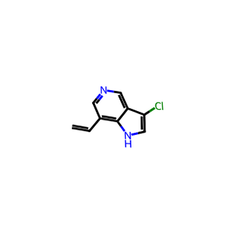 C=Cc1cncc2c(Cl)c[nH]c12